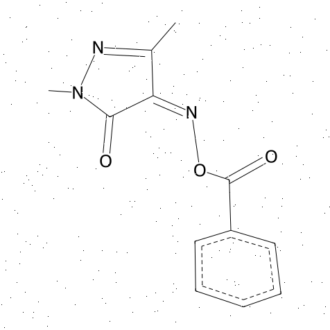 CC1=NN(C)C(=O)C1=NOC(=O)c1ccccc1